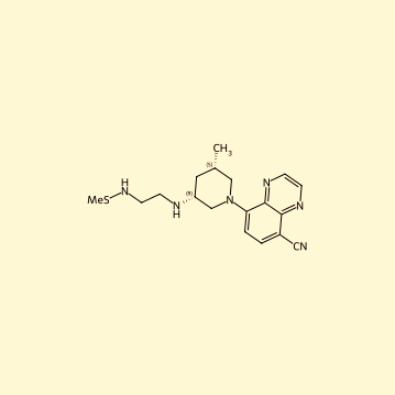 CSNCCN[C@@H]1C[C@H](C)CN(c2ccc(C#N)c3nccnc23)C1